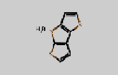 B.c1cc2c(s1)sc1ccsc12